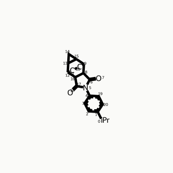 CC(C)c1ccc(N2C(=O)C3C4CCC(C5CC54)C3C2=O)cc1